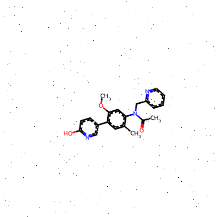 COc1cc(N(Cc2ccccn2)C(C)=O)c(C)cc1-c1ccc(O)nc1